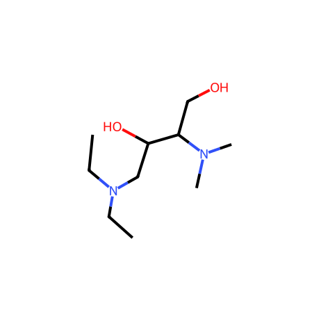 CCN(CC)CC(O)C(CO)N(C)C